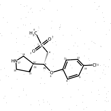 CS(=O)(=O)C[C@H](Oc1ccc(Cl)cc1)[C@H]1CCNC1